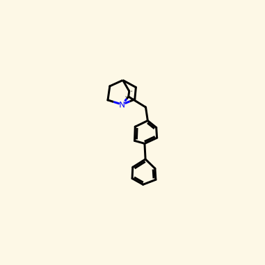 [CH]1[C](Cc2ccc(-c3ccccc3)cc2)N2CCC1CC2